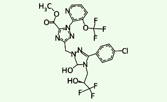 COC(=O)c1nc(CN2N=C(c3ccc(Cl)cc3)N(C[C@H](O)C(F)(F)F)C2O)nn1-c1ncccc1OC(F)(F)F